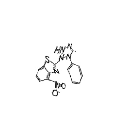 O=[N+]([O-])c1cccc2sc(N3NN=[C]N3c3ccccc3)nc12